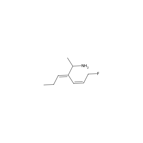 CC/C=C(\C=C/CF)C(C)N